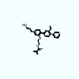 C=C(C)C(=O)OCCOc1cc(CCCO)ccc1-c1ccc(-c2ccccc2)c(CC)c1